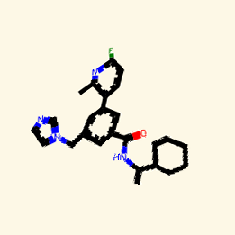 Cc1nc(F)ccc1-c1cc(Cn2ccnc2)cc(C(=O)NC(C)C2CCCCC2)c1